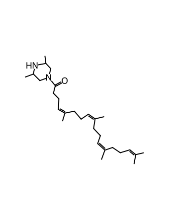 CC(C)=CCCC(C)=CCCC(C)=CCCC(C)=CCCC(=O)N1CC(C)NC(C)C1